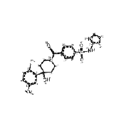 Cc1ccc(F)c(C2(O)CCN(C(=O)c3ccc(S(=O)(=O)Nc4nccs4)cc3)CC2)c1